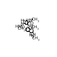 CNC(=O)Nc1cc(Nc2cccc3c2N(C)Cc2nn(C)nc2-3)c(C(=O)NC)cn1